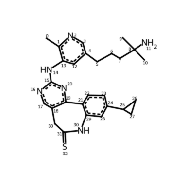 Cc1ncc(CCCC(C)(C)N)cc1Nc1ncc2c(n1)-c1ccc(C3CC3)cc1NC(=S)C2